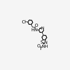 CC(=O)Nc1nc2ccc(-c3cncc(NC(=O)Cc4cccc(Cl)c4)c3)cc2s1